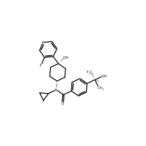 C[C@](O)(c1ccc(C(=O)N(C2CC2)[C@H]2CC[C@](O)(c3ccncc3F)CC2)cc1)C(F)(F)F